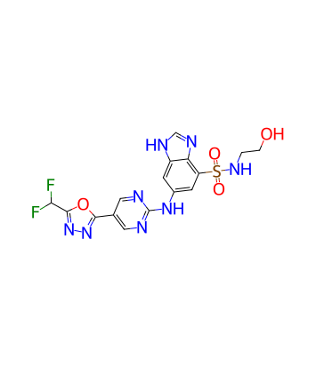 O=S(=O)(NCCO)c1cc(Nc2ncc(-c3nnc(C(F)F)o3)cn2)cc2[nH]cnc12